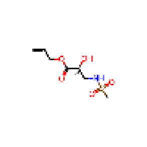 C=CCOC(=O)[C@@H](O)CNS(C)(=O)=O